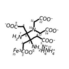 NC(CC(=O)[O-])(CC(=O)[O-])C(N)(CC(=O)[O-])N(CC(=O)[O-])CC(=O)[O-].[Fe+3].[NH4+].[NH4+]